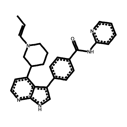 CC=CN1CCCC(c2ccnc3[nH]cc(-c4ccc(C(=O)Nc5ccccn5)cc4)c23)C1